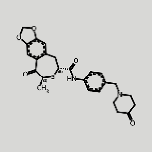 C[C@@H]1S[C@@H](C(=O)Nc2ccc(CN3CCC(=O)CC3)cc2)Cc2cc3c(cc2C1=O)OCO3